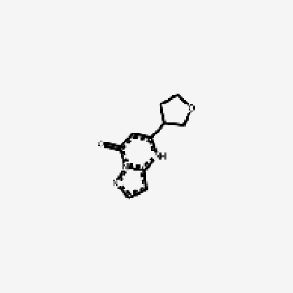 O=c1cc(C2CCOC2)[nH]c2ccnn12